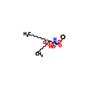 CCCCCCCCCCC[C@H](CC(=O)N[C@@H](CO)C(=O)OCc1ccccc1)OC(=O)CCCCCCC